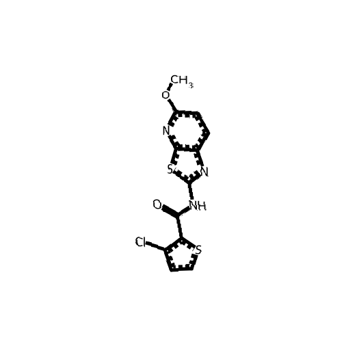 COc1ccc2nc(NC(=O)c3sccc3Cl)sc2n1